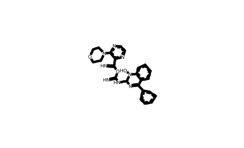 N=C(NC1N=C(c2ccccc2)c2ccccc2N1O)OC(=N)c1nccnc1N1CCOCC1